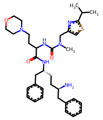 CC(C)c1nc(CN(C)C(=O)NC(CCN2CCOCC2)C(=O)N[C@H](CC[C@@H](N)Cc2ccccc2)Cc2ccccc2)cs1